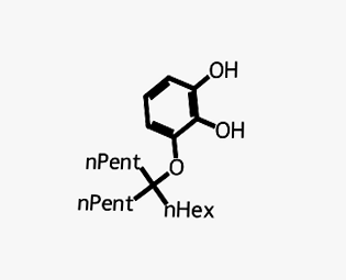 CCCCCCC(CCCCC)(CCCCC)Oc1cccc(O)c1O